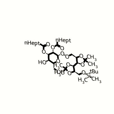 CCCCCCCC(=O)O[C@@H]1[C@H](OOC[C@H]2OC(C)(C)O[C@H]2[C@@H]2OC(C)(C)O[C@@H]2CO[Si](C)(C)C(C)(C)C)O[C@H](CO)[C@@H](O)[C@@H]1OC(=O)CCCCCCC